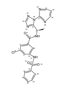 C[C@@H](NC(=O)c1cc(Cl)cc(NS(=O)(=O)c2ccccc2)c1)c1ncnn1-c1ncccn1